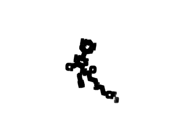 C#CCN(C(=O)CCSCCC(F)(F)F)c1sc(-c2cncnc2)nc1Cl